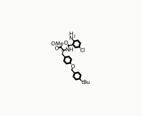 COC(=O)[C@H](Cc1ccc(OCc2ccc(C(C)(C)C)cc2)cc1)NC(=O)c1cc(Cl)ccc1N